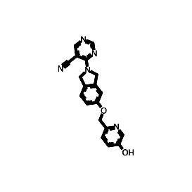 N#Cc1cncnc1N1Cc2ccc(OCc3ccc(O)cn3)cc2C1